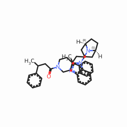 Cc1nc2ccccc2n1C1C[C@H]2CC[C@@H](C1)N2CCC1(c2ccccc2)CCN(C(=O)CC(C)c2ccccc2)CC1